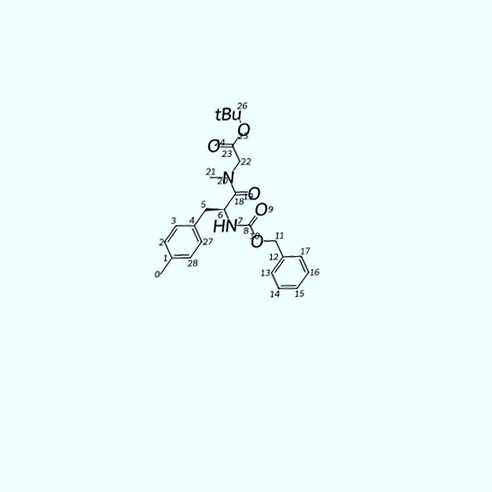 Cc1ccc(C[C@H](NC(=O)OCc2ccccc2)C(=O)N(C)CC(=O)OC(C)(C)C)cc1